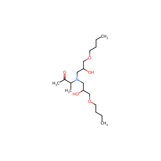 CCCCOCC(O)CN(CC(O)COCCCC)C(C)C(C)=O